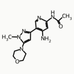 CC(=O)Nc1cc(N)c(-c2cc(N3CCOCC3)n(C)n2)cn1